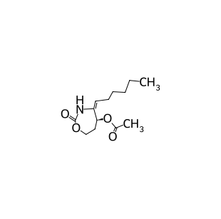 CCCCC/C=C1/NC(=O)OCC[C@@H]1OC(C)=O